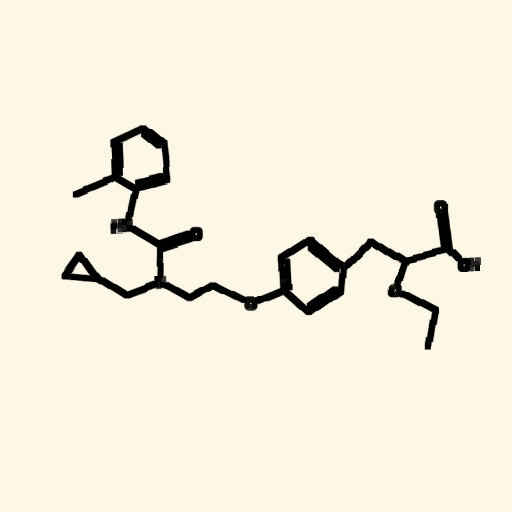 CCOC(Cc1ccc(OCCN(CC2CC2)C(=O)Nc2ccccc2C)cc1)C(=O)O